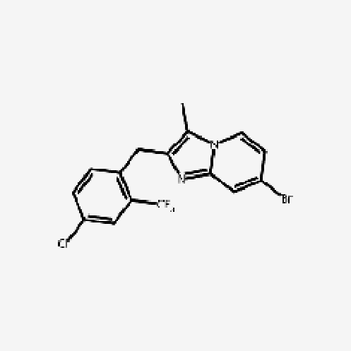 Cc1c(Cc2ccc(Cl)cc2C(F)(F)F)nc2cc(Br)ccn12